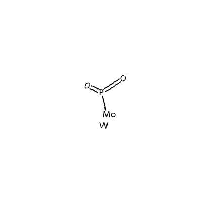 O=[P](=O)[Mo].[W]